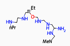 CCCNCCNC[C@H](CC)OCNCNCC(N)NCNC